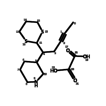 CC#CCC(C1CCCNC1)C1SCCCS1.O=C(O)C(=O)O